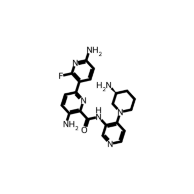 Nc1ccc(-c2ccc(N)c(C(=O)Nc3cnccc3N3CCC[C@H](N)C3)n2)c(F)n1